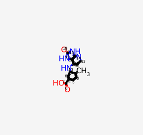 Cc1ccc(C(=O)O)cc1Nc1ccnc2[nH]c(=O)[nH]c12